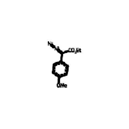 CCOC(=O)C(=[N+]=[N-])c1ccc(OC)cc1